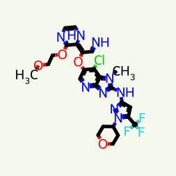 COCCOC1=NC=CN/C1=C(\C=N)Oc1cnc2nc(Nc3cc(C(F)(F)F)n(C4CCOCC4)n3)n(C)c2c1Cl